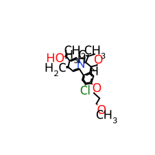 C=C(O)C1=CN2C(=CC1=C)c1cc(Cl)c(OCCCOC)cc1[C@H]1COCC(C)(C)[C@H]12